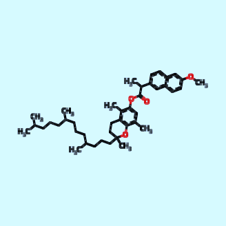 COc1ccc2cc(C(C)C(=O)Oc3cc(C)c4c(c3C)CCC(C)(CCCC(C)CCCC(C)CCCC(C)C)O4)ccc2c1